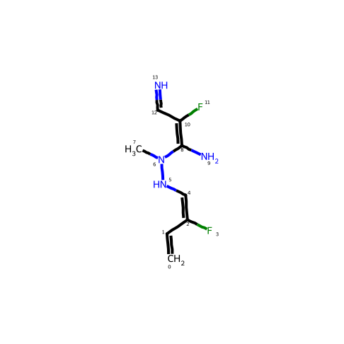 C=C/C(F)=C\NN(C)/C(N)=C(/F)C=N